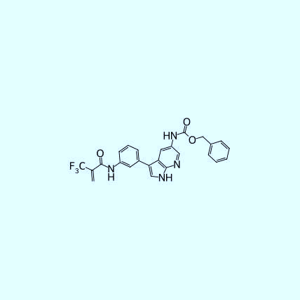 C=C(C(=O)Nc1cccc(-c2c[nH]c3ncc(NC(=O)OCc4ccccc4)cc23)c1)C(F)(F)F